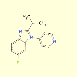 CC(C)c1nc2ccc(F)cc2n1-c1ccncc1